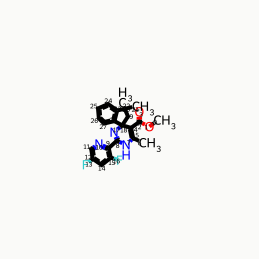 COC(=O)C1=C(C)NC(c2ncc(F)cc2F)=NC12CC(C)(C)c1ccccc12